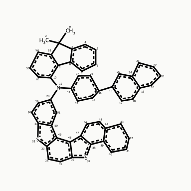 CC1(C)c2ccccc2-c2c(N(c3ccc(-c4ccc5ccccc5c4)cc3)c3ccc4sc5ccc6sc7c8ccccc8ccc7c6c5c4c3)cccc21